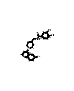 O=C(NCC1CCN(c2ccnc3ccc(F)cc23)CC1)c1ccc(Cl)c(Cl)c1